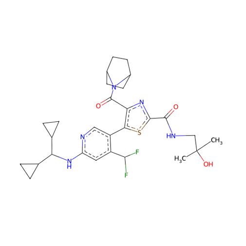 CC(C)(O)CNC(=O)c1nc(C(=O)N2C3CCC2CC3)c(-c2cnc(NC(C3CC3)C3CC3)cc2C(F)F)s1